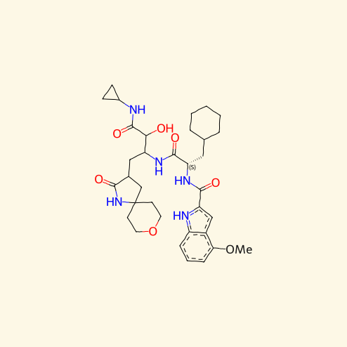 COc1cccc2[nH]c(C(=O)N[C@@H](CC3CCCCC3)C(=O)NC(CC3CC4(CCOCC4)NC3=O)C(O)C(=O)NC3CC3)cc12